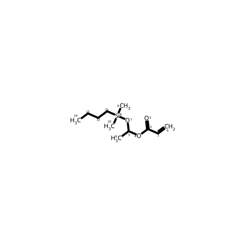 C=CC(=O)OC(C)O[Si](C)(C)CCCC